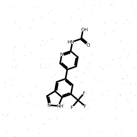 O=C(O)Nc1ccc(-c2cc(C(F)(F)F)c3[nH]ncc3c2)cn1